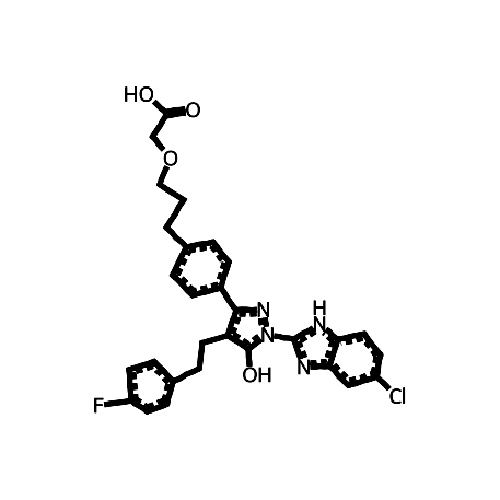 O=C(O)COCCCc1ccc(-c2nn(-c3nc4cc(Cl)ccc4[nH]3)c(O)c2CCc2ccc(F)cc2)cc1